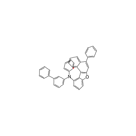 c1ccc(-c2cccc(N(c3ccccc3)c3cccc4oc5cc(-c6ccccc6)c6ccccc6c5c34)c2)cc1